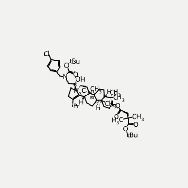 CC(C)C1=C2[C@H]3CC[C@@H]4[C@@]5(C)CC[C@H](OC(=O)CC(C)(C)C(=O)OC(C)(C)C)C(C)(C)[C@@H]5CC[C@@]4(C)[C@]3(C)CC[C@@]2([C@@H](O)CN(Cc2ccc(Cl)cc2)C(=O)OC(C)(C)C)CC1